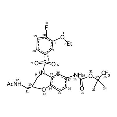 CCOc1cc(S(=O)(=O)N2C[C@H](CNC(C)=O)Oc3ccc(NC(=O)OC(C)(C)C(F)(F)F)cc32)ccc1F